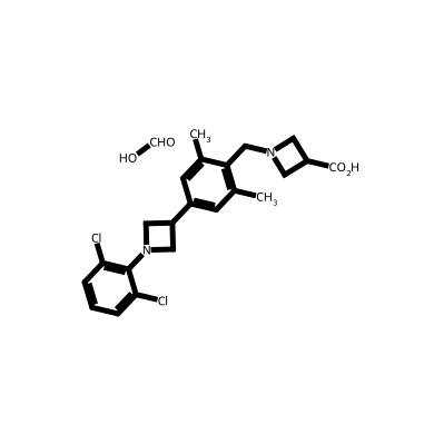 Cc1cc(C2CN(c3c(Cl)cccc3Cl)C2)cc(C)c1CN1CC(C(=O)O)C1.O=CO